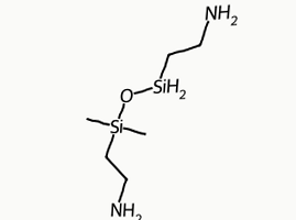 C[Si](C)(CCN)O[SiH2]CCN